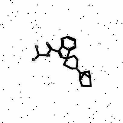 CCC(CC)NC(=O)C1=CC2(CCN(C3CC4CCC3C4)CC2)c2ccccc21